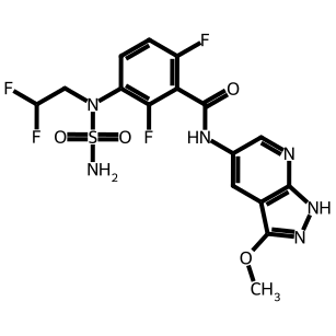 COc1n[nH]c2ncc(NC(=O)c3c(F)ccc(N(CC(F)F)S(N)(=O)=O)c3F)cc12